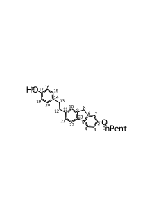 CCCCCOc1ccc2c(c1)Cc1cc(CCc3ccc(O)cc3)ccc1-2